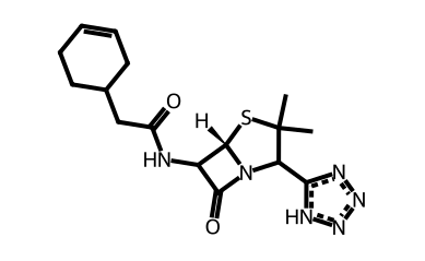 CC1(C)S[C@H]2C(NC(=O)CC3CC=CCC3)C(=O)N2C1c1nnn[nH]1